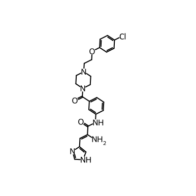 NC(=Cc1c[nH]cn1)C(=O)Nc1cccc(C(=O)N2CCN(CCOc3ccc(Cl)cc3)CC2)c1